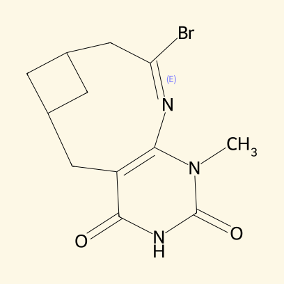 Cn1c2c(c(=O)[nH]c1=O)CC1CC(C/C(Br)=N\2)C1